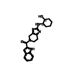 O=C(c1cc2ccccc2[nH]1)N1CCc2nc(N[C@@H]3CCCC[C@@H]3O)sc2C1